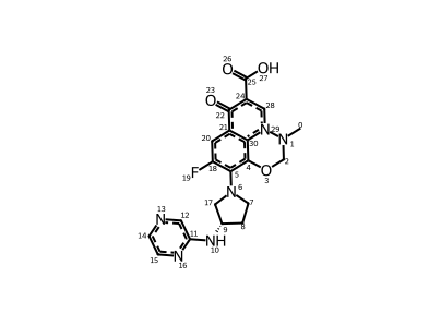 CN1COc2c(N3CC[C@H](Nc4cnccn4)C3)c(F)cc3c(=O)c(C(=O)O)cn1c23